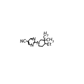 CCC1CCN(c2ncc(C#N)cn2)CC1(C)C